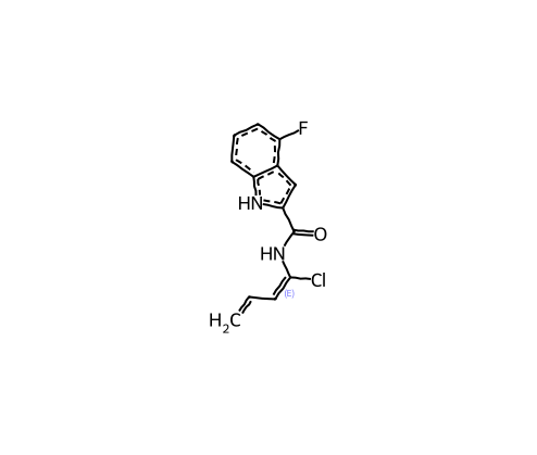 C=C/C=C(/Cl)NC(=O)c1cc2c(F)cccc2[nH]1